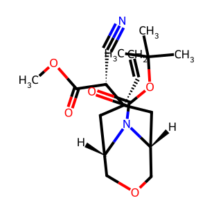 C=C[C@@]1([C@@H](C#N)C(=O)OC)C[C@H]2COC[C@@H](C1)N2C(=O)OC(C)(C)C